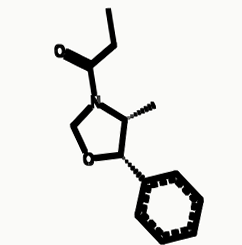 CCC(=O)N1CO[C@@H](c2ccccc2)[C@H]1C